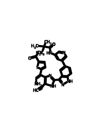 C#Cc1[nH]c(-c2n[nH]c3ccc(-c4cncc(NC(=O)C(C)(C)C)c4)cc23)nc1/C(=C\N)c1ccc(C(C)=O)s1